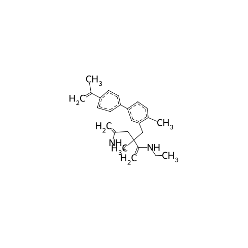 C=C(N)CC(C)(Cc1cc(-c2ccc(C(=C)C)cc2)ccc1C)C(=C)NCC